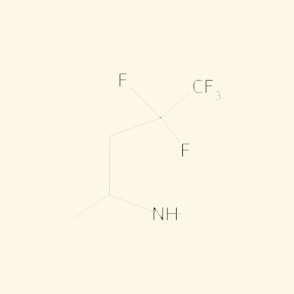 CC([NH])CC(F)(F)C(F)(F)F